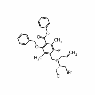 C=CCN(Cc1c(C)c(OCc2ccccc2)c(C(=O)Oc2ccccc2)c(C)c1F)[C@@H](CCl)CC(C)C